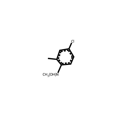 Cc1cc(Cl)ccc1N(C)O